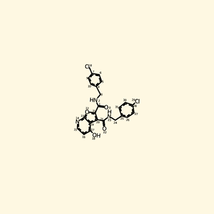 O=C(NCc1ccc(Cl)cc1)c1oc2nccc(O)c2c1C(=O)NCc1ccc(Cl)cc1